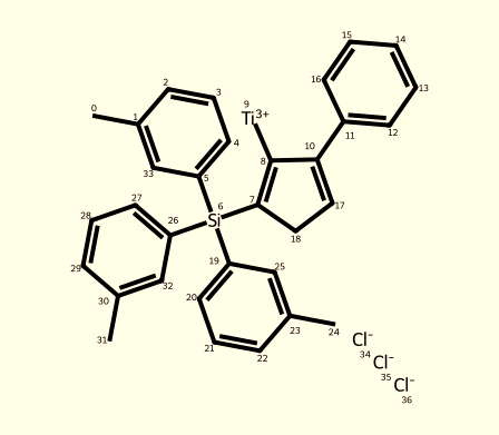 Cc1cccc([Si](C2=[C]([Ti+3])C(c3ccccc3)=CC2)(c2cccc(C)c2)c2cccc(C)c2)c1.[Cl-].[Cl-].[Cl-]